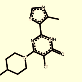 Cc1ncsc1-c1nc(N2CCC(C)CC2)c(Cl)c(=O)[nH]1